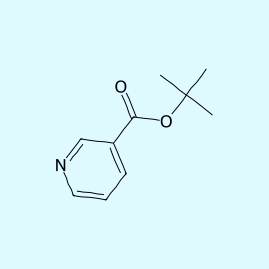 CC(C)(C)OC(=O)c1cccnc1